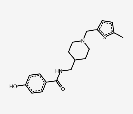 Cc1ccc(CN2CCC(CNC(=O)c3ccc(O)cc3)CC2)s1